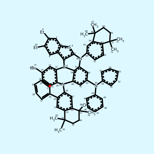 CCc1cc2sc3c(c2cc1CC)B1c2cc(C(C)(C)C)c#cc2N(c2cc4c(cc2C2=CC=CCC2)C(C)(C)CCC4(C)C)c2cc(N(c4ccccc4)c4ccccc4)cc(c21)N3c1ccc2c(c1)C(C)(C)CCC2(C)C